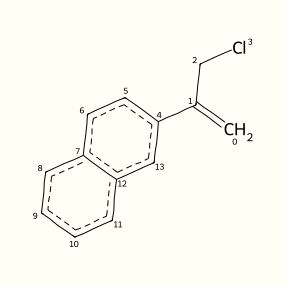 C=C(CCl)c1ccc2ccccc2c1